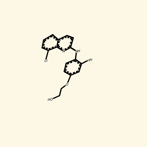 CCCc1cc(OCCO)ccc1Nc1ccc2cccc(Cl)c2n1